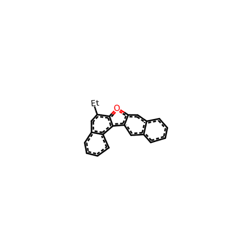 CCc1cc2ccccc2c2c1oc1cc3ccccc3cc12